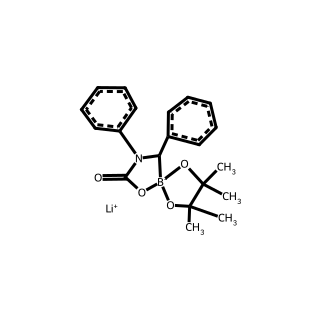 CC1(C)O[B-]2(OC(=O)N(c3ccccc3)C2c2ccccc2)OC1(C)C.[Li+]